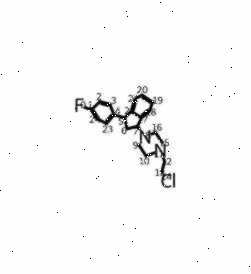 Fc1ccc(C2CC(N3CCN(CCCl)CC3)c3ccccc32)cc1